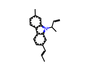 C=CC(C)n1c2cc(C)ccc2c2ccc(/C=C/C)cc21